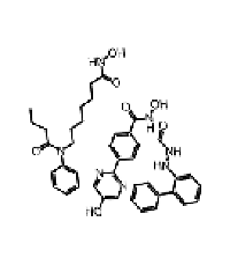 CCCC(=O)N(CCCCCCC(=O)NO)c1ccccc1.O=C(NO)c1ccc(-c2ncc(O)cn2)cc1.O=CNNc1ccccc1-c1ccccc1